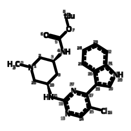 CN1C[C@@H](NC(=O)OC(C)(C)C)C[C@@H](Nc2ncc(Cl)c(-c3c[nH]c4ccccc34)n2)C1